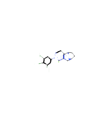 FC1C2=C(C=CN1c1cc(Cl)c(Cl)c(Cl)c1)C1CCC(C2)N1